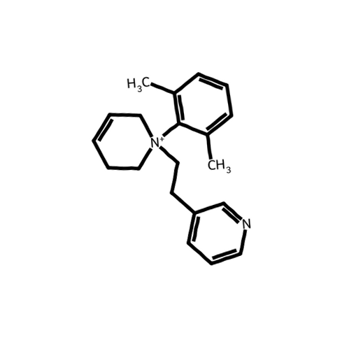 Cc1cccc(C)c1[N+]1(CCc2cccnc2)CC=CCC1